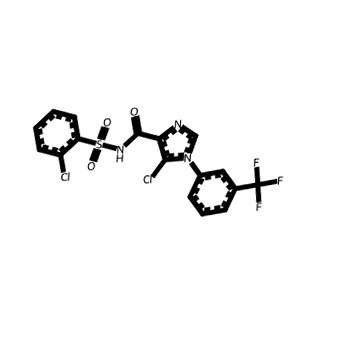 O=C(NS(=O)(=O)c1ccccc1Cl)c1ncn(-c2cccc(C(F)(F)F)c2)c1Cl